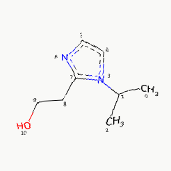 CC(C)n1ccnc1CCO